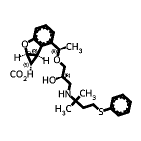 C[C@@H](OC[C@H](O)CNC(C)(C)CCSc1ccccc1)c1cccc2c1[C@@H]1[C@H](O2)[C@H]1C(=O)O